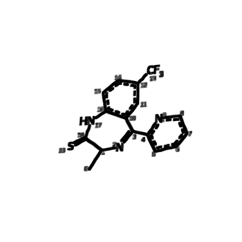 CC1N=C(c2ccccn2)c2cc(C(F)(F)F)ccc2NC1=S